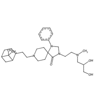 CN(CCN1CN(c2ccccc2)C2(CCN(CCC3CCC4CC3C4(C)C)CC2)C1=O)CC(O)CO